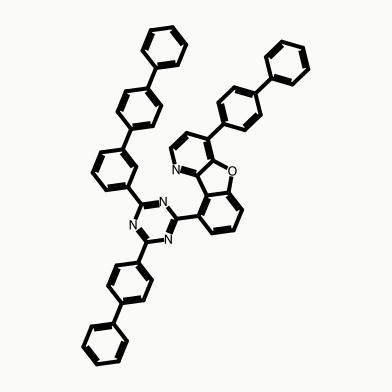 c1ccc(-c2ccc(-c3cccc(-c4nc(-c5ccc(-c6ccccc6)cc5)nc(-c5cccc6oc7c(-c8ccc(-c9ccccc9)cc8)ccnc7c56)n4)c3)cc2)cc1